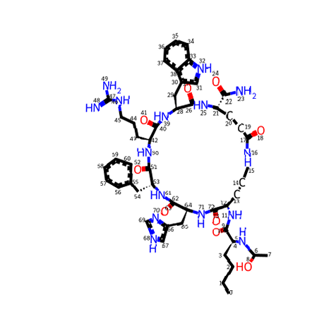 CCCC[C@H](NC(C)O)C(=O)N[C@H]1CCCNC(=O)CC[C@@H](C(N)=O)NC(=O)[C@H](Cc2c[nH]c3ccccc23)NC(=O)[C@H](CCCNC(=N)N)NC(=O)[C@@H](Cc2ccccc2)NC(=O)[C@H](Cc2c[nH]cn2)NC1=O